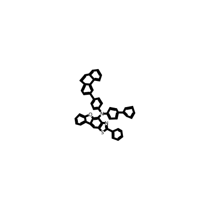 c1ccc(-c2ccc(N(c3ccc(-c4ccc5ccc6ccccc6c5c4)cc3)c3c4nc(-c5ccccc5)sc4cc4c3oc3ccccc34)cc2)cc1